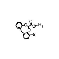 COC(=O)C1Oc2ccccc2Cc2cccc(Br)c2O1